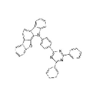 C1=CC(c2nc(-c3ccccc3)nc(-c3ccc(-n4c5ccccc5c5ccc6c7ccccc7oc6c54)cc3)n2)=CCC1